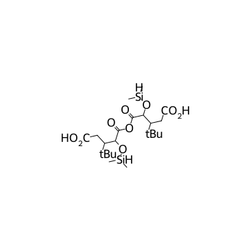 C[SiH](C)OC(C(=O)OC(=O)C(O[SiH](C)C)C(CC(=O)O)C(C)(C)C)C(CC(=O)O)C(C)(C)C